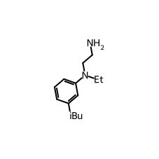 CCC(C)c1cccc(N(CC)CCN)c1